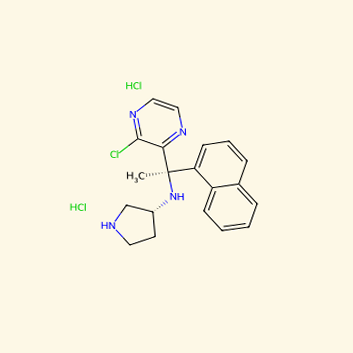 C[C@](N[C@@H]1CCNC1)(c1nccnc1Cl)c1cccc2ccccc12.Cl.Cl